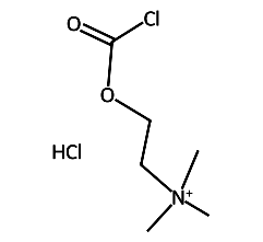 C[N+](C)(C)CCOC(=O)Cl.Cl